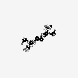 Cc1c(COc2cc(OCc3cncc(C#N)c3)c(CNC(CO)C(=O)O)cc2Cl)cccc1-c1cccc2c1cnn2Cc1cc(OCc2cncc(C#N)c2)c(CNC(CO)C(=O)OC(C)C)cc1Cl